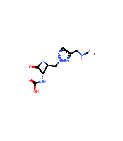 CNCc1cnn(C[C@@H]2NC(=O)[C@H]2NC(=O)O)n1